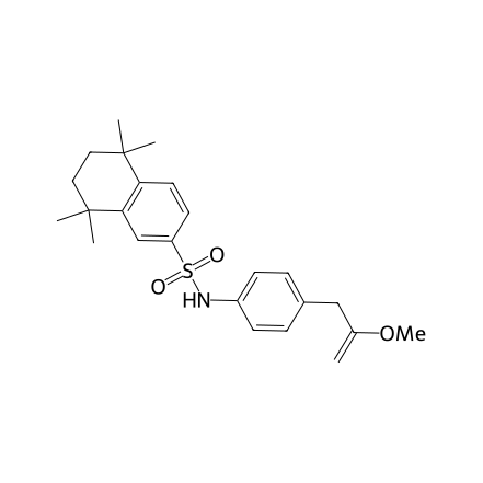 C=C(Cc1ccc(NS(=O)(=O)c2ccc3c(c2)C(C)(C)CCC3(C)C)cc1)OC